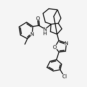 Cc1cccc(C(=O)NC23CCCC4CC2CC(c2ncc(-c5cccc(Cl)c5)o2)(C4)C3)n1